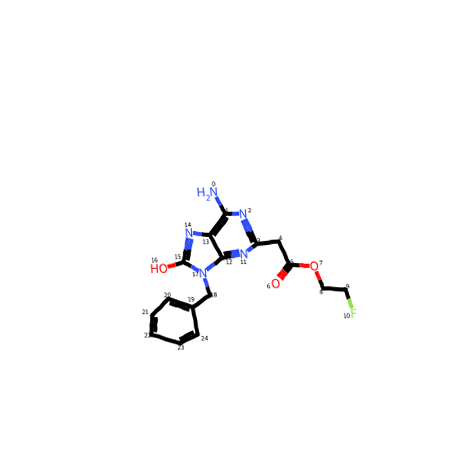 Nc1nc(CC(=O)OCCF)nc2c1nc(O)n2Cc1ccccc1